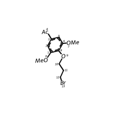 COc1cc(C(C)=O)cc(OC)c1OCCCBr